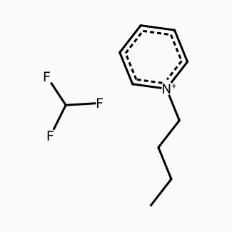 CCCC[n+]1ccccc1.FC(F)F